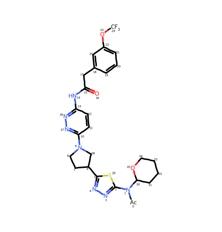 CC(=O)N(c1nnc(C2CCN(c3ccc(NC(=O)Cc4cccc(OC(F)(F)F)c4)nn3)C2)s1)C1CCCCO1